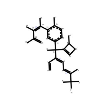 C=C/C(=C\C=C(/C)C(C)(C)F)C(C)(C1=CCC1C)c1ccc(C)c(/C(C)=C(/C)C(=C)C)c1